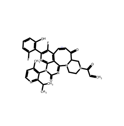 C=CC(=O)N1CCN2c3nc(=O)n(-c4c(C)ccnc4C(C)C)c4nc(-c5c(O)cccc5F)c(F)c(c34)/C=C\C(=O)C2C1